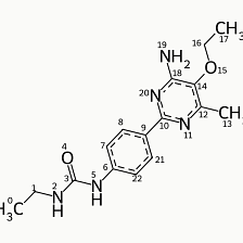 CCNC(=O)Nc1ccc(-c2nc(C)c(OCC)c(N)n2)cc1